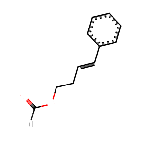 CC(C)(C)C(=O)OCCC=Cc1ccccc1